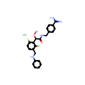 CCOC(C(=O)NCc1ccc(C(=N)N)cc1)c1c(F)ccc(CNc2ccccc2)c1F.Cl